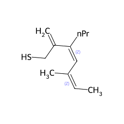 C=C(CS)/C(=C\C(C)=C/C)CCC